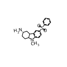 CN1c2ccc(S(=O)(=O)c3ccccc3)cc2C2C[C@@H](N)CCC21